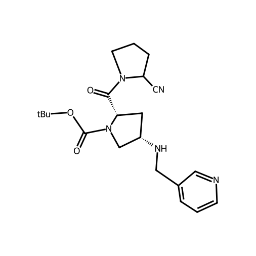 CC(C)(C)OC(=O)N1C[C@@H](NCc2cccnc2)C[C@H]1C(=O)N1CCCC1C#N